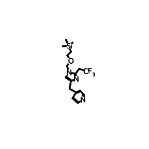 C[Si](C)(C)CCOCn1cc(Cc2ccncc2)nc1CC(F)(F)F